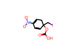 O=C(O)OC1(CI)C=CC([N+](=O)[O-])=CC1